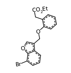 CCOC(=O)Cc1ccccc1OCc1coc2c(Br)cccc12